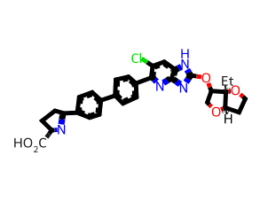 CC[C@]12OCC[C@H]1OCC2Oc1nc2nc(-c3ccc(-c4ccc(C5=NC(C(=O)O)CC5)cc4)cc3)c(Cl)cc2[nH]1